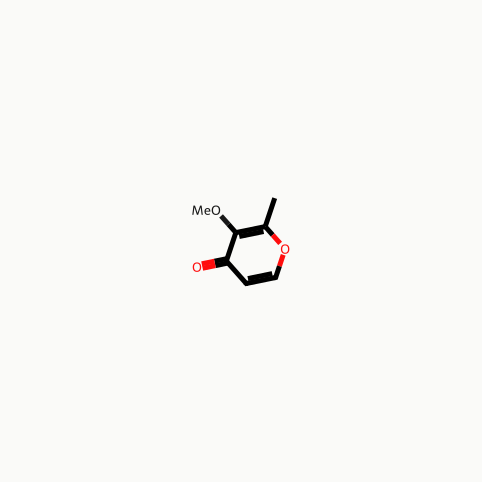 COc1c(C)occc1=O